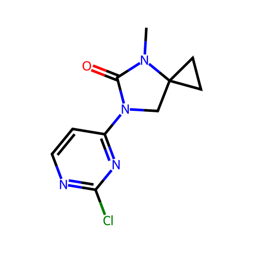 CN1C(=O)N(c2ccnc(Cl)n2)CC12CC2